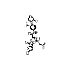 O=C(N[C@H](CNC(=O)c1ccc(Cl)s1)C(=O)Nc1ccc(N2CCOCC2=O)c(C(F)F)c1)OCC(F)F